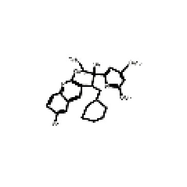 COc1cc(OC)nc(C(O)(CC=O)C(CC2CCCCC2)c2cc3cc(Br)ccc3nc2OC)c1